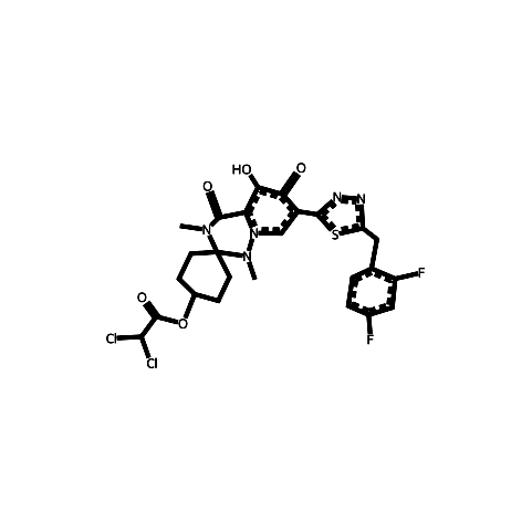 CN1C(=O)c2c(O)c(=O)c(-c3nnc(Cc4ccc(F)cc4F)s3)cn2N(C)C12CCC(OC(=O)C(Cl)Cl)CC2